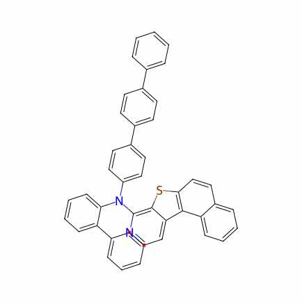 c1ccc(-c2ccc(-c3ccc(N(c4ccccc4-c4ccccc4)c4nccc5c4sc4ccc6ccccc6c45)cc3)cc2)cc1